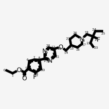 CCOC(=O)c1ccc(-c2ncc(OCC3CCN(CC(F)(CC)CC)CC3)cn2)cc1F